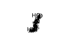 Cc1cc(OCC(C)(C)C(=O)O)ncc1-c1ccc(-c2ncc(CC(C)C)[nH]2)c(F)c1